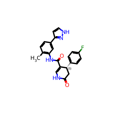 Cc1ccc(-c2cc[nH]n2)cc1NC(=O)C1=CNC(=O)C[C@H]1c1ccc(F)cc1